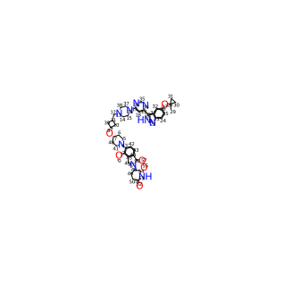 COc1c(N2CCC(O[C@H]3C[C@H](CN4CCN(c5cc(-c6[nH]nc7ccc(OC8(C)CC8)cc67)ncn5)CC4)C3)CC2)ccc2c1CN(C1CCC(=O)NC1=O)C2=O